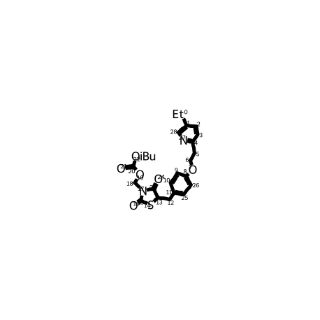 CCc1ccc(CCOc2ccc(CC3SC(=O)N(COC(=O)OCC(C)C)C3=O)cc2)nc1